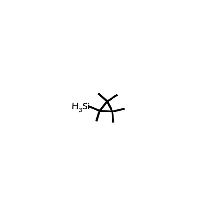 CC1(C)C(C)(C)C1(C)[SiH3]